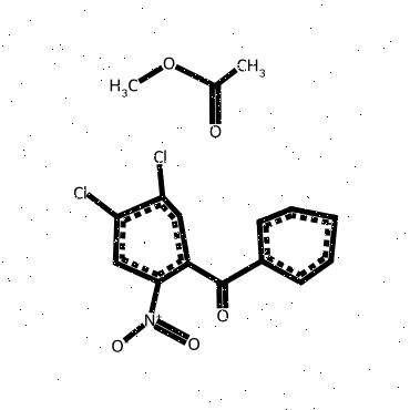 COC(C)=O.O=C(c1ccccc1)c1cc(Cl)c(Cl)cc1[N+](=O)[O-]